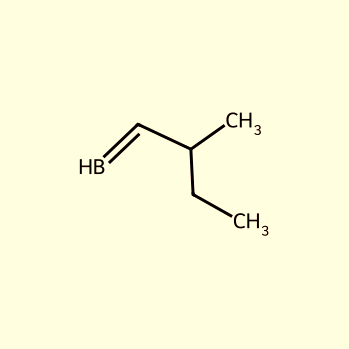 B=CC(C)CC